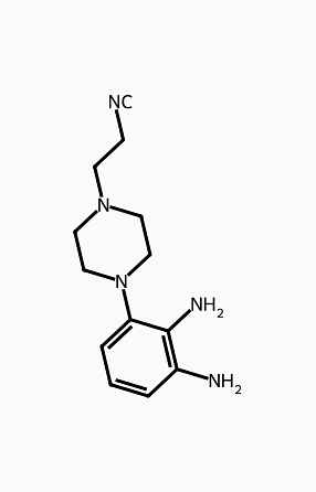 [C-]#[N+]CCN1CCN(c2cccc(N)c2N)CC1